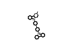 CC1C=Cc2c(c3ccccc3n2-c2ccc(-c3ccc(-n4c5ccccc5c5ccccc54)cc3)cc2)C1